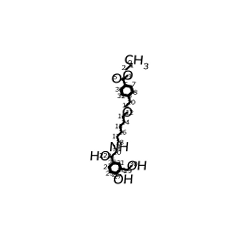 CCCOC(=O)c1ccc(CCOCCCCCCNCC(O)c2ccc(O)c(CO)c2)cc1